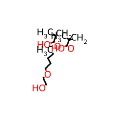 C=C(C)C(=O)O.C=C(C)C(=O)O.CCCCCOCCO